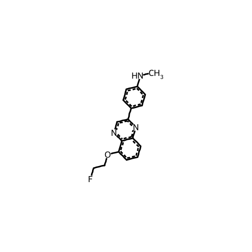 CNc1ccc(-c2cnc3c(OCCF)cccc3n2)cc1